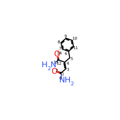 NC(=O)/C=C(/Cc1ccccc1)C(N)=O